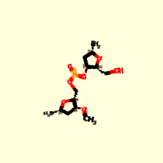 B[C@H]1C[C@@H](OC)[C@@H](CO[PH](=O)O[C@@H]2C[C@H](B)O[C@@H]2CO)O1